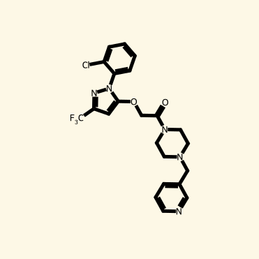 O=C(COc1cc(C(F)(F)F)nn1-c1ccccc1Cl)N1CCN(Cc2cccnc2)CC1